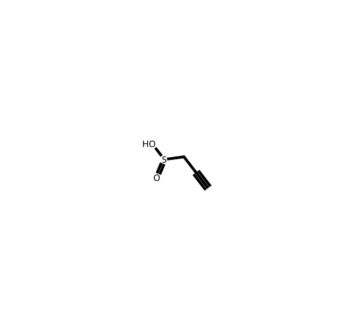 C#CCS(=O)O